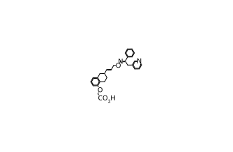 O=C(O)COc1cccc2c1CCC(/C=C/CO/N=C(\Cc1cccnc1)c1ccccc1)C2